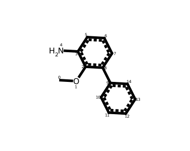 COc1c(N)cccc1-c1ccccc1